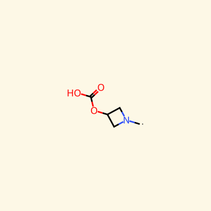 [CH2]N1CC(OC(=O)O)C1